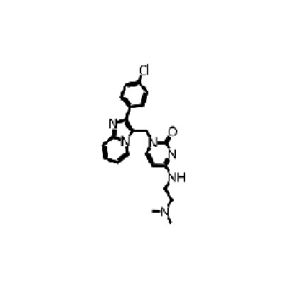 CN(C)CCNc1ccn(Cc2c(-c3ccc(Cl)cc3)nc3ccccn23)c(=O)n1